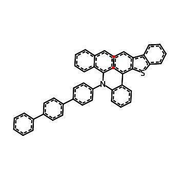 c1ccc(-c2ccc(-c3ccc(N(c4ccccc4-c4cccc5c4sc4ccccc45)c4cccc5ccccc45)cc3)cc2)cc1